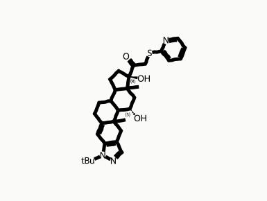 CC12Cc3cnn(C(C)(C)C)c3C=C1CCC1C2[C@@H](O)CC2(C)C1CC[C@]2(O)C(=O)CSc1ccccn1